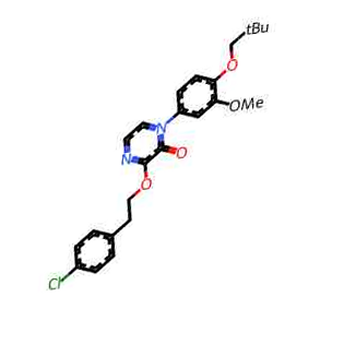 COc1cc(-n2ccnc(OCCc3ccc(Cl)cc3)c2=O)ccc1OCC(C)(C)C